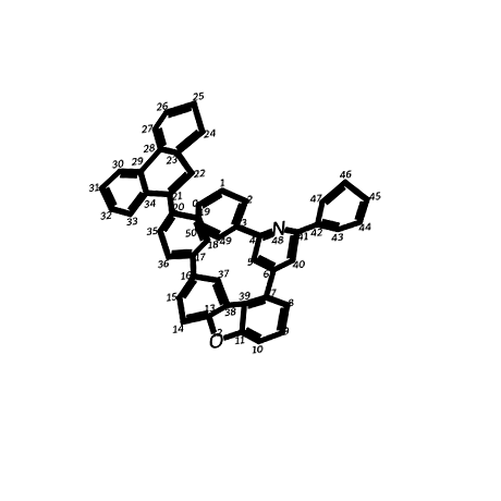 c1ccc(-c2cc(-c3cccc4oc5ccc(-c6ccc(-c7cc8ccccc8c8ccccc78)cc6)cc5c34)cc(-c3ccccc3)n2)cc1